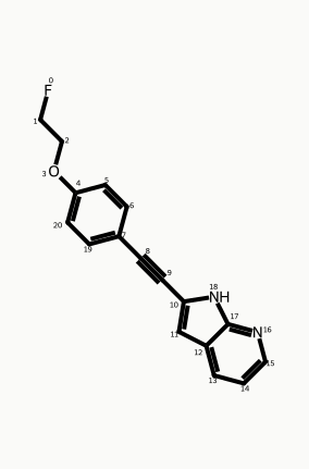 FCCOc1ccc(C#Cc2cc3cccnc3[nH]2)cc1